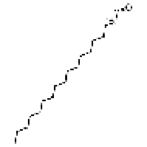 CCCCCCCCCCCCCCCC[14CH2][C]=O